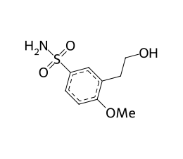 COc1ccc(S(N)(=O)=O)cc1CCO